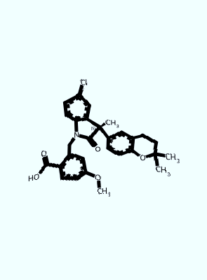 COc1ccc(C(=O)O)c(CN2C(=O)[C@@](C)(c3ccc4c(c3)CCC(C)(C)O4)c3cc(Cl)ccc32)c1